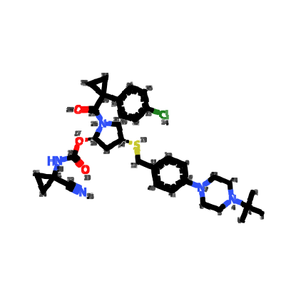 CC(C)(C)N1CCN(c2ccc(CS[C@@H]3C[C@H](OC(=O)NC4(C#N)CC4)N(C(=O)C4(c5ccc(Cl)cc5)CC4)C3)cc2)CC1